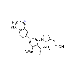 C/C=N\c1cc(-c2cc(NC)c(C(N)=O)c(N3CCC(CCO)C3)c2)ccc1CCCC